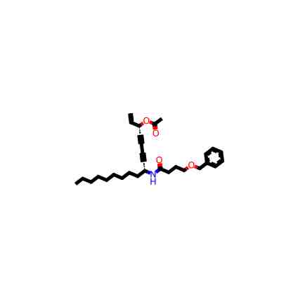 C=C[C@@H](C#CC#C[C@@H](CCCCCCCCC)NC(=O)CCCOCc1ccccc1)OC(C)=O